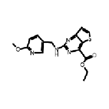 CCOC(=O)c1nc(NCc2ccc(OC)nc2)nc2ccsc12